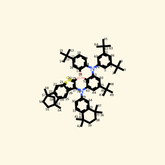 CC(C)(C)c1cc(N2c3ccc(C(C)(C)C)cc3B3c4sc5cc6c(cc5c4N(c4ccc5c(c4)C(C)(C)CCC5(C)C)c4cc(C(C)(C)C)cc2c43)C2(C)CCC6(C)C2)cc(C(C)(C)C)c1